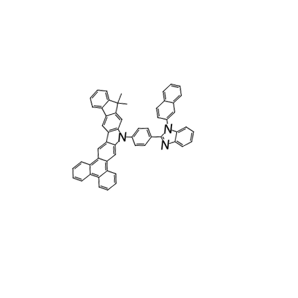 CC1(C)c2ccccc2-c2cc3c4cc5c6ccccc6c6ccccc6c5cc4n(-c4ccc(-c5nc6ccccc6n5-c5ccc6ccccc6c5)cc4)c3cc21